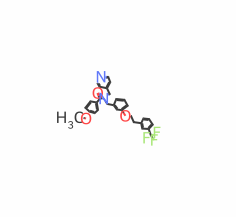 COc1ccc(C(=O)N(Cc2ccncc2)Cc2cccc(OCCc3cccc(C(F)(F)F)c3)c2)cc1